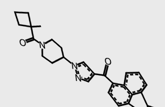 CC1(C(=O)N2CCC(n3cc(C(=O)c4ccc5c6c(cccc46)C(=O)N5)cn3)CC2)CCC1